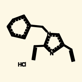 C=Cc1cn(Cc2ccccc2)c(C=C)n1.Cl